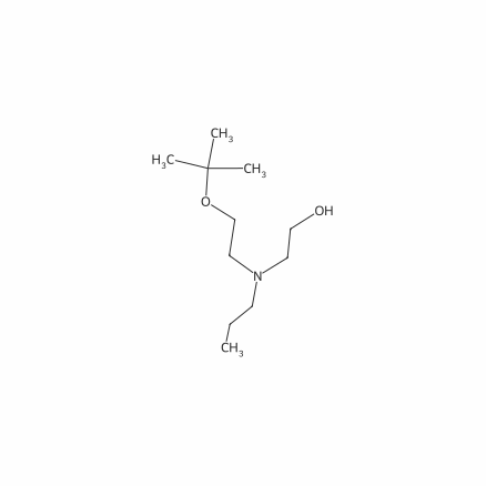 CCCN(CCO)CCOC(C)(C)C